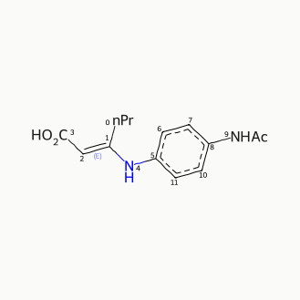 CCC/C(=C\C(=O)O)Nc1ccc(NC(C)=O)cc1